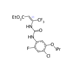 CCOC(=O)/C=C(\NC(=O)Nc1cc(OC(C)C)c(Cl)cc1F)C(F)(F)F